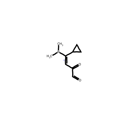 CN(C)/C(=C/C(=O)C=O)C1CC1